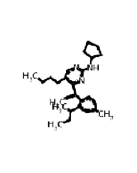 C/C=C(\c1ccc(C)cc1C(C)CC)c1nc(NC2CCCC2)ncc1CCCC